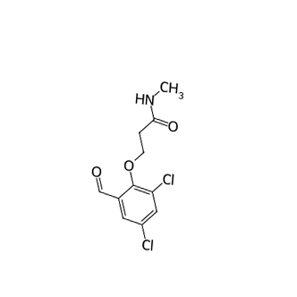 CNC(=O)CCOc1c(Cl)cc(Cl)cc1C=O